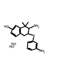 CC1(C)c2cc(O)ccc2CC(Sc2cccc(N)c2)C1N.Cl.Cl